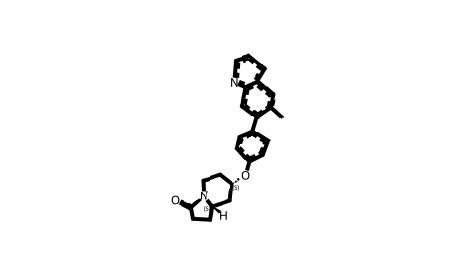 Cc1cc2cccnc2cc1-c1ccc(O[C@H]2CCN3C(=O)CC[C@H]3C2)cc1